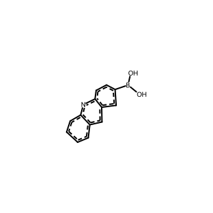 OB(O)c1ccc2nc3ccccc3cc2c1